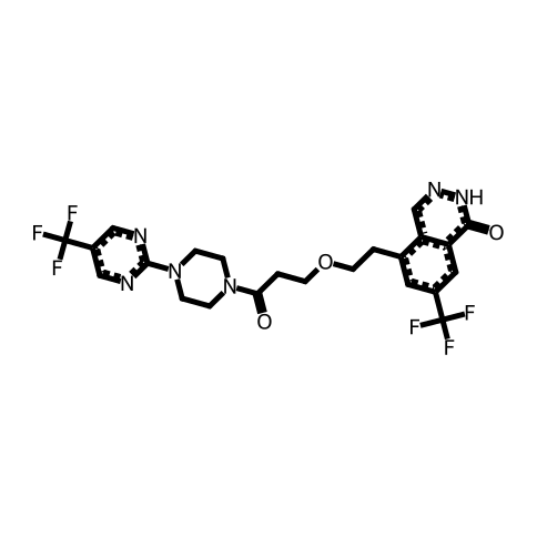 O=C(CCOCCc1cc(C(F)(F)F)cc2c(=O)[nH]ncc12)N1CCN(c2ncc(C(F)(F)F)cn2)CC1